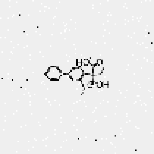 CCc1cc(-c2ccccc2)ccc1C(CC)(C(=O)O)C(=O)O